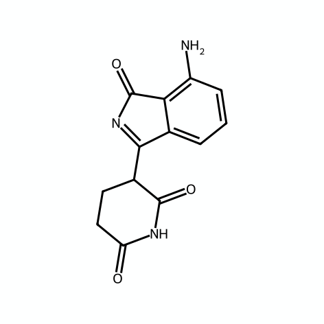 Nc1cccc2c1C(=O)N=C2C1CCC(=O)NC1=O